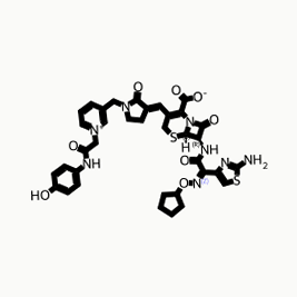 Nc1nc(/C(=N/OC2CCCC2)C(=O)N[C@@H]2C(=O)N3C(C(=O)[O-])=C(C=C4CCN(Cc5ccc[n+](CC(=O)Nc6ccc(O)cc6)c5)C4=O)CS[C@H]23)cs1